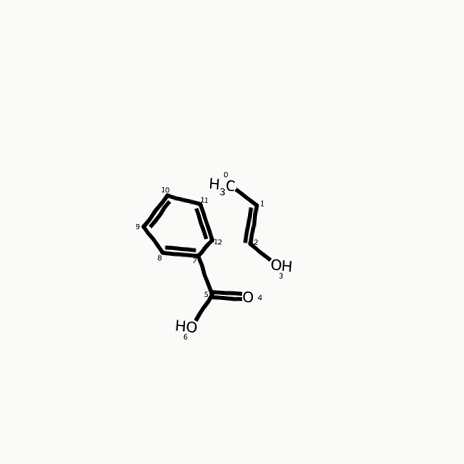 CC=CO.O=C(O)c1ccccc1